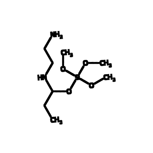 CCC(NCCN)O[Si](OC)(OC)OC